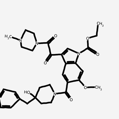 CCOC(=O)n1cc(C(=O)C(=O)N2CCN(C)CC2)c2cc(C(=O)N3CCC(O)(Cc4ccccc4)CC3)c(OC)cc21